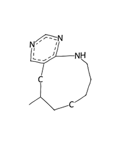 CC1CCCCCNc2ncncc2C1